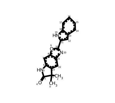 CC1(C)C(=O)Nc2cc3oc(-c4cc5ccccc5[nH]4)nc3cc21